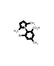 Cc1cc(Br)c(-n2c(C)ccc2C)c(C(=O)O)c1